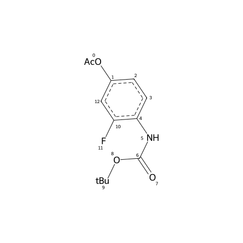 CC(=O)Oc1ccc(NC(=O)OC(C)(C)C)c(F)c1